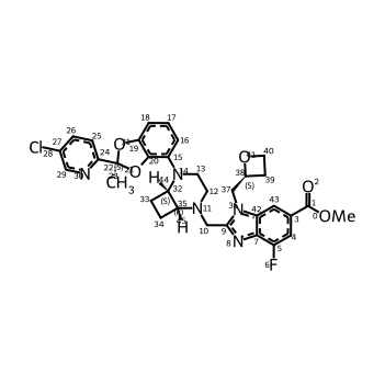 COC(=O)c1cc(F)c2nc(CN3CCN(c4cccc5c4O[C@@](C)(c4ccc(Cl)cn4)O5)[C@H]4CC[C@H]43)n(C[C@@H]3CCO3)c2c1